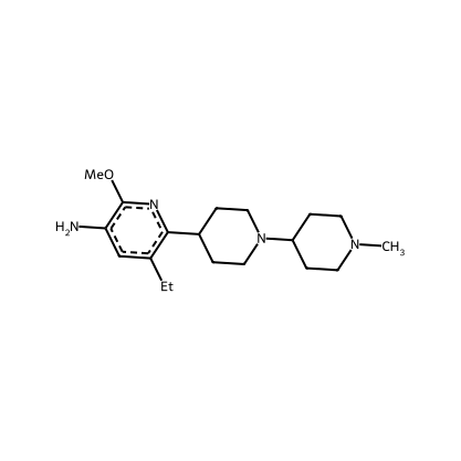 CCc1cc(N)c(OC)nc1C1CCN(C2CCN(C)CC2)CC1